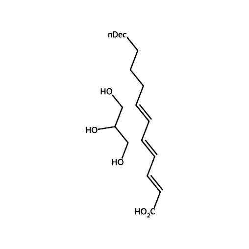 CCCCCCCCCCCCCC=CC=CC=CC(=O)O.OCC(O)CO